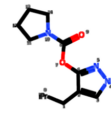 CC(C)Cc1c[nH]nc1OC(=O)N1CCCC1